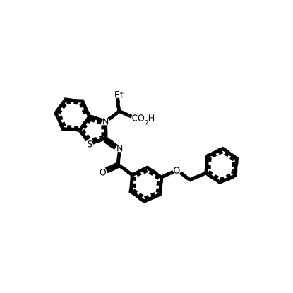 CCC(C(=O)O)n1c(=NC(=O)c2cccc(OCc3ccccc3)c2)sc2ccccc21